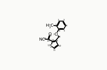 Cc1ccccc1OCc1ccsc1C(=O)C#N